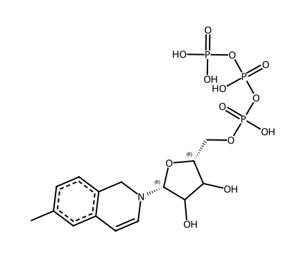 Cc1ccc2c(c1)C=CN([C@@H]1O[C@H](COP(=O)(O)OP(=O)(O)OP(=O)(O)O)C(O)C1O)C2